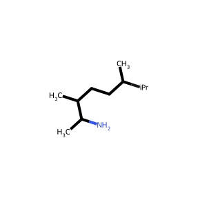 CC(C)C(C)CCC(C)C(C)N